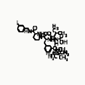 CC(C)[C@H](NC(=O)O)C(=O)N[C@@H](Cc1cccc(O[Si](C)(C)C(C)(C)C)c1)C(=O)N1CCC[C@@H](C(=O)NCc2cccc(I)c2)N1